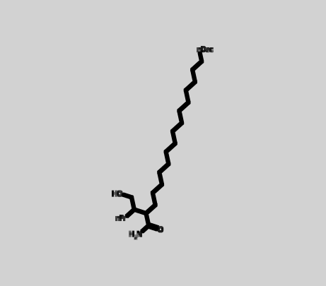 CCCCCCCCCCCCCCCCCCCCCCCCCC(C(N)=O)C(CO)CCC